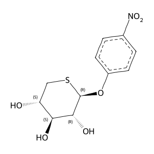 O=[N+]([O-])c1ccc(O[C@@H]2SC[C@@H](O)[C@H](O)[C@H]2O)cc1